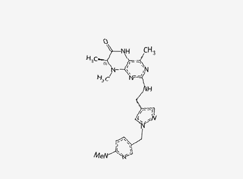 CNc1ccc(Cn2cc(CNc3nc(C)c4c(n3)N(C)[C@@H](C)C(=O)N4)cn2)cn1